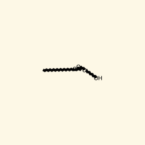 CCCCCCCCCCCCCCCCCCOCC1CC(COCCCCCCCO)CO1